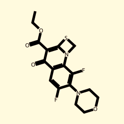 CCOC(=O)c1c2n(c3c(F)c(N4CCOCC4)c(F)cc3c1=O)CS2